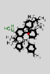 Cc1ccc([Si](c2ccc(C)cc2)=[Zr]([C]2=CC=CC2)[c]2c(C(C)(C)C)ccc3c2Cc2cc(C(C)(C)C)ccc2-3)cc1.Cl.Cl